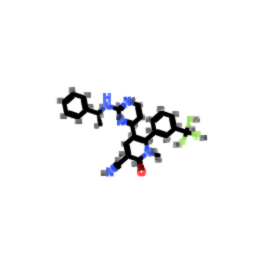 C[C@H](Nc1nccc(-c2cc(C#N)c(=O)n(C)c2-c2cccc(C(F)(F)F)c2)n1)c1ccccc1